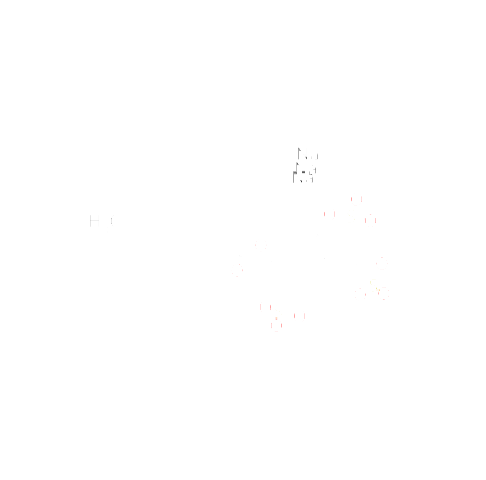 CCCCCCCCC(=O)Oc1cc(S(=O)(=O)[O-])c2ccc3c(S(=O)(=O)[O-])cc(S(=O)(=O)[O-])c4ccc1c2c43.[Na+].[Na+].[Na+]